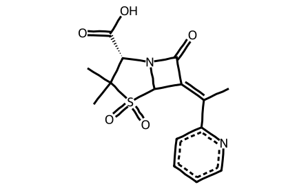 C/C(=C1\C(=O)N2C1S(=O)(=O)C(C)(C)[C@@H]2C(=O)O)c1ccccn1